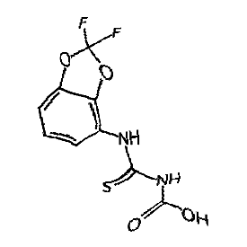 O=C(O)NC(=S)Nc1cccc2c1OC(F)(F)O2